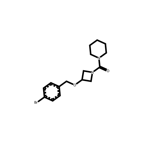 O=C(N1CCCCC1)N1CC(OCc2ccc(Br)cc2)C1